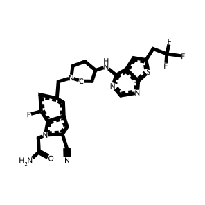 N#Cc1cc2cc(CN3CCC(Nc4ncnc5sc(CC(F)(F)F)cc45)CC3)cc(F)c2n1CC(N)=O